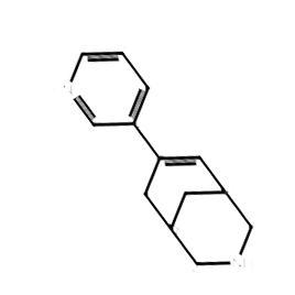 C1=C(c2cccnc2)CC2CNCC1C2